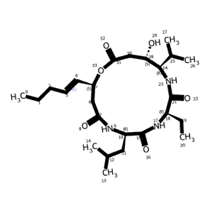 CCC/C=C/[C@@H]1CC(=O)N[C@H](CC(C)C)C(=O)N[C@H](CC)C(=O)N[C@H](C(C)C)[C@@H](O)CC(=O)O1